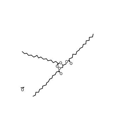 C1CO1.CCCCCCCCCCCCCCCC(=O)OCC(COC(=O)CCCCCCCCCCCCCCC)OC(=O)CCCCCCCCCCCCCCC